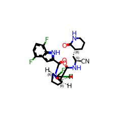 N#C[C@H](C[C@H]1CCCNC1=O)NC(=O)[C@H]1[C@H]2CC[C@H](CC2(F)F)N1C(=O)c1cc2c(F)ccc(F)c2[nH]1